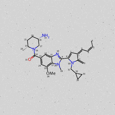 C=c1/c(=C\C=C/C)cc(-c2nc3cc(C(=O)N4C[C@@H](N)CC[C@H]4C)cc(OC)c3n2C)n1CC1CC1